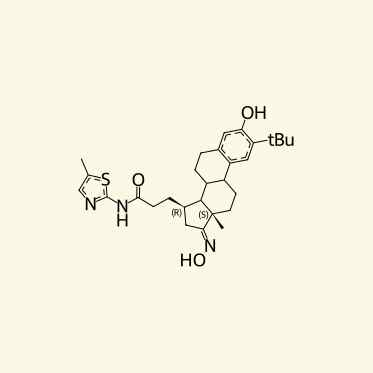 Cc1cnc(NC(=O)CC[C@@H]2CC(=NO)[C@@]3(C)CCC4c5cc(C(C)(C)C)c(O)cc5CCC4C23)s1